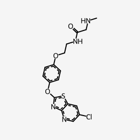 CNCC(=O)NCCOc1ccc(Oc2nc3ncc(Cl)cc3s2)cc1